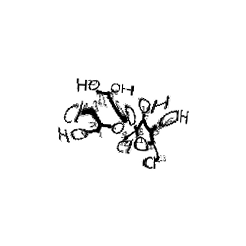 OCC(CCl)O[C@H](O[C@@]1(CCl)O[C@H](CCl)C(O)C1O)C(O)CO